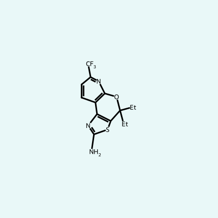 CCC1(CC)Oc2nc(C(F)(F)F)ccc2-c2nc(N)sc21